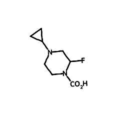 O=C(O)N1CCN(C2CC2)CC1F